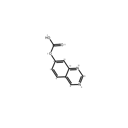 O=C(O)Oc1ccc2cncnc2c1